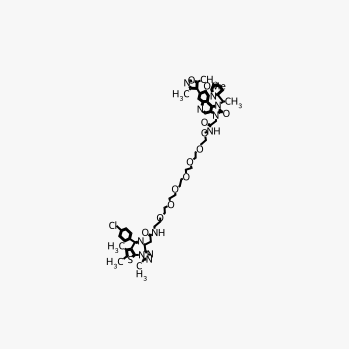 COc1cc2c(cc1-c1c(C)noc1C)ncc1c2n(C(C)c2ccccn2)c(=O)n1CC(=O)NOCCOCCOCCOCCOCCOCCOCCNC(=O)CC1N=C(c2ccc(Cl)cc2)c2c(sc(C)c2C)-n2c(C)nnc21